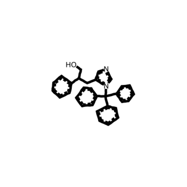 OCC(Cc1cncn1C(c1ccccc1)(c1ccccc1)c1ccccc1)c1ccccc1